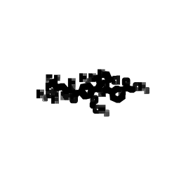 CCOc1cc(C(=O)NC(=N)/C=C(\NC)C(F)(F)F)ccc1-c1nc(C2CCCN(C(=O)CC)C2)n2c(Cl)cnc(N)c12